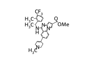 COC(=O)c1cc2nc(N[C@H](C)c3cccc(C(F)(F)F)c3C)c3cc(C4=CCN(C)CC4)ccc3n2c1